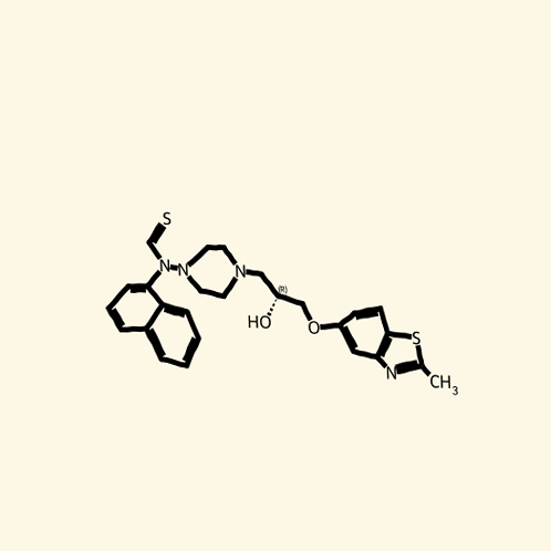 Cc1nc2cc(OC[C@H](O)CN3CCN(N(C=S)c4cccc5ccccc45)CC3)ccc2s1